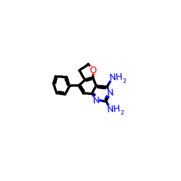 Nc1nc(N)c2c3c(c(-c4ccccc4)cc2n1)CCO3